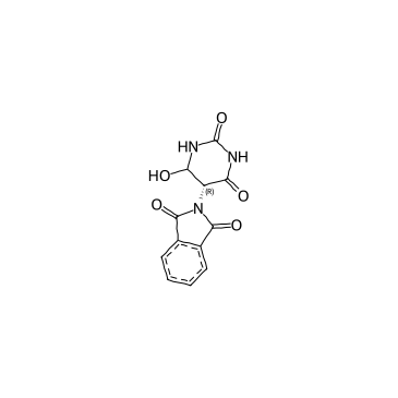 O=C1NC(=O)[C@H](N2C(=O)c3ccccc3C2=O)C(O)N1